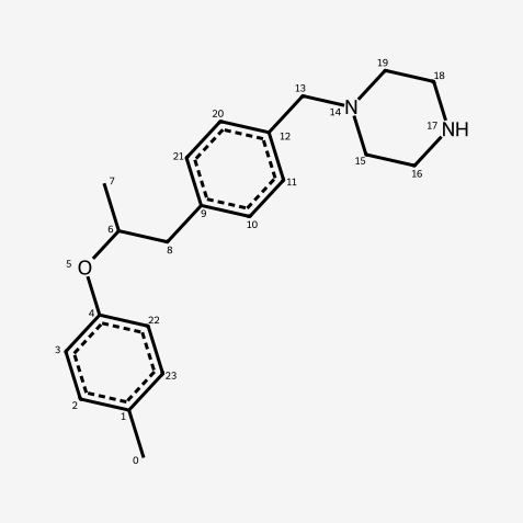 Cc1ccc(OC(C)Cc2ccc(CN3CCNCC3)cc2)cc1